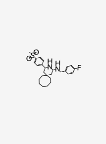 CS(=O)(=O)c1ccc(C2CC3(CCCCCCC3)CC(NCc3ccc(F)cc3)N2)cc1